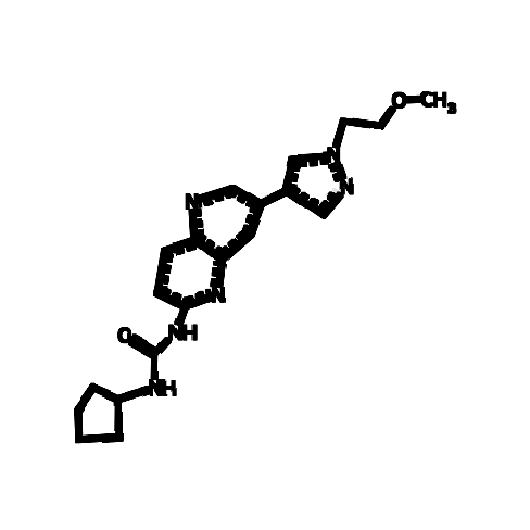 COCCn1cc(-c2cnc3ccc(NC(=O)NC4CCCC4)nc3c2)cn1